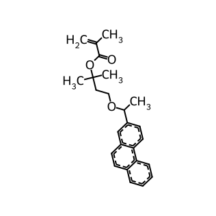 C=C(C)C(=O)OC(C)(C)CCOC(C)c1ccc2c(ccc3ccccc32)c1